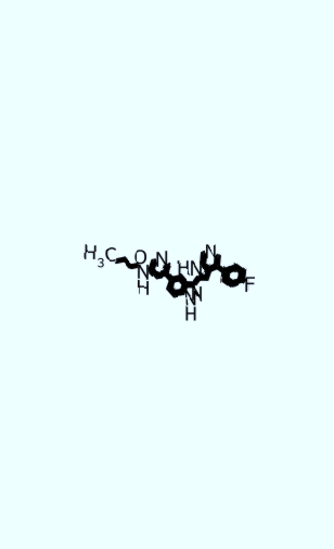 CCCCC(=O)Nc1cncc(-c2ccc3[nH]nc(-c4cc5c(-c6ccc(F)cc6)cncc5[nH]4)c3c2)c1